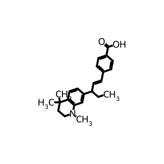 CCC(/C=C/c1ccc(C(=O)O)cc1)c1ccc2c(c1)N(C)CCC2(C)C